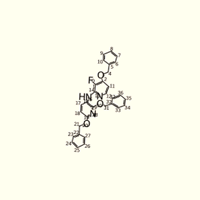 Fc1c(OCc2ccccc2)ccnc1Nc1ccc(OCc2ccccc2)nc1OCc1ccccc1